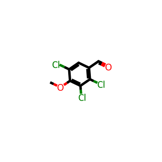 COc1c(Cl)cc(C=O)c(Cl)c1Cl